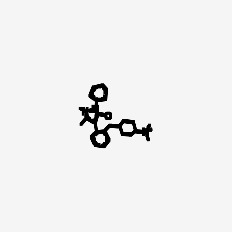 Cc1c(-c2ccccc2C=C2C=CC(=[N+](C)C)C=C2)c(=O)n(-c2ccccc2)n1C